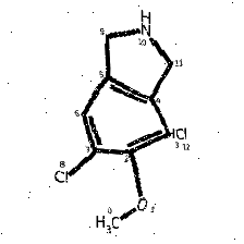 COc1cc2c(cc1Cl)CNC2.Cl